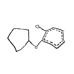 Clc1c[c]ccc1OC1CCCC1